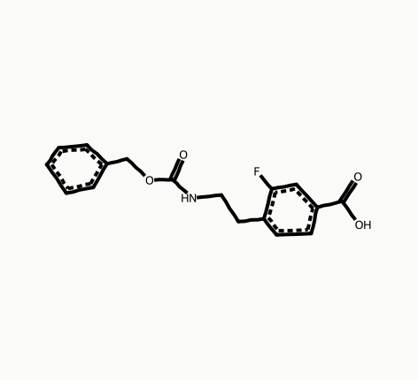 O=C(NCCc1ccc(C(=O)O)cc1F)OCc1ccccc1